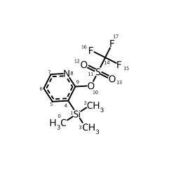 C[Si](C)(C)c1cccnc1OS(=O)(=O)C(F)(F)F